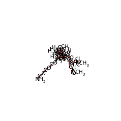 CC[C@H](C)[C@@H]([C@@H](CC(=O)N1CCC[C@H]1[C@H](OC)[C@@H](C)C(=O)N[C@@H](Cc1ccccc1)C(=O)OCC[C@H](Cc1ccc(-c2cn3cccc(C)c3n2)cc1)NC(=O)c1ccc(OC(C)C)c(Cl)c1)OC)N(C)[C@H](C(=O)NC(=O)C(C)(C)NC(=O)CCOCCOCCOCCOCCOCCOCCN)C(C)C